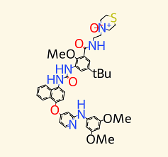 COc1cc(Nc2cc(Oc3ccc(NC(=O)Nc4cc(C(C)(C)C)cc(C(=O)NCC[N+]5([O-])CCSCC5)c4OC)c4ccccc34)ccn2)cc(OC)c1